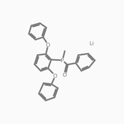 CP(C(=O)c1ccccc1)c1c(Oc2ccccc2)cccc1Oc1ccccc1.[Li]